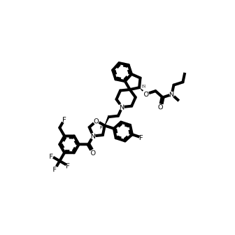 CCCN(C)C(=O)CO[C@H]1Cc2ccccc2C12CCN(CC[C@@]1(c3ccc(F)cc3)CN(C(=O)c3cc(CF)cc(C(F)(F)F)c3)CO1)CC2